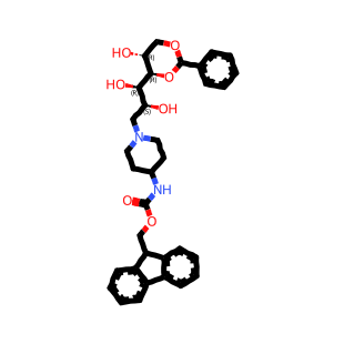 O=C(NC1CCN(C[C@H](O)[C@@H](O)[C@@H]2OC(c3ccccc3)OC[C@H]2O)CC1)OCC1c2ccccc2-c2ccccc21